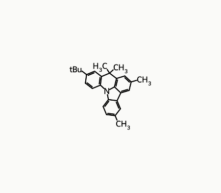 Cc1ccc2c(c1)c1cc(C)cc3c1n2-c1ccc(C(C)(C)C)cc1C3(C)C